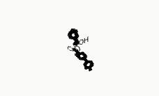 CC1CCC(C2CCC(C(=O)OCC(O)C3CCCCC3)CC2)CC1